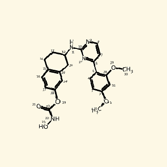 COc1ccc(-c2ccnc(NC3CCc4ccc(OC(=O)NO)cc4C3)n2)c(OC)c1